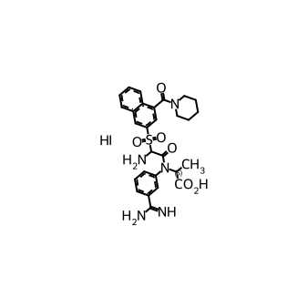 C[C@@H](C(=O)O)N(C(=O)C(N)S(=O)(=O)c1cc(C(=O)N2CCCCC2)c2ccccc2c1)c1cccc(C(=N)N)c1.I